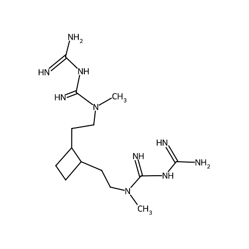 CN(CCC1CCC1CCN(C)C(=N)NC(=N)N)C(=N)NC(=N)N